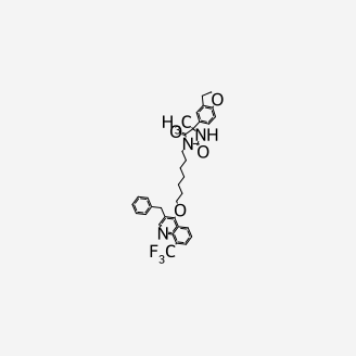 CC1(c2ccc3c(c2)CCO3)NC(=O)N(CCCCCCCOc2c(Cc3ccccc3)cnc3c(C(F)(F)F)cccc23)C1=O